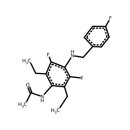 CCc1c(F)c(NCc2ccc(F)cc2)c(F)c(CC)c1NC(C)=O